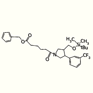 CC(C)(C)[Si](C)(C)OCC1CN(C(=O)CCCCC(=O)OCc2ccccc2)CC1c1cccc(C(F)(F)F)c1